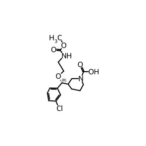 COC(=O)NCCO[C@@H](c1cccc(Cl)c1)C1CCCN(C(=O)O)C1